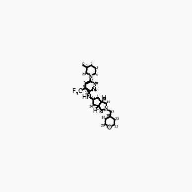 CC1CCCN(c2cc(C(F)(F)F)c(NC3C[C@@H]4CN(CC5CCOCC5)C[C@@H]4C3)nn2)C1